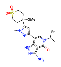 COC1(c2cc(-c3cn(C(C)C(C)C)c(=O)c4c(N)n[nH]c34)nn2C)CCS(=O)(=O)CC1